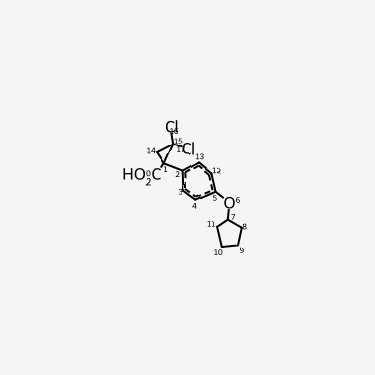 O=C(O)C1(c2ccc(OC3CCCC3)cc2)CC1(Cl)Cl